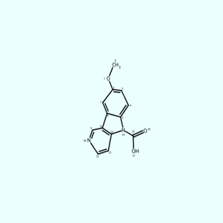 COc1ccc2c(c1)c1cnccc1n2C(=O)O